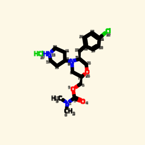 CN(C)C(=O)OC[C@H]1CN(C2CCNCC2)[C@@H](Cc2ccc(Cl)cc2)CO1.Cl